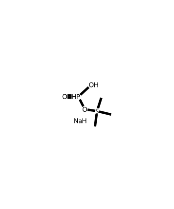 CS(C)(C)O[PH](=O)O.[NaH]